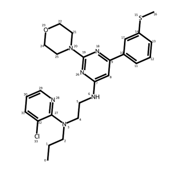 CCCN(CCNc1cc(-c2cccc(SC)c2)nc(N2CCOCC2)n1)c1ncccc1Cl